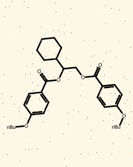 CCCCOc1ccc(C(=O)OCC(OC(=O)c2ccc(OCCCC)cc2)C2CCCCC2)cc1